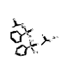 CC(=O)[O-].CC(=O)[O-].O=P(O)(O)c1ccccc1.O=P(O)(O)c1ccccc1.[Zn+2]